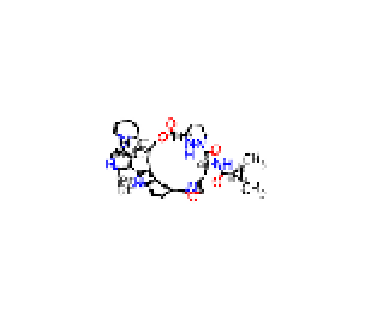 CCn1c(-c2cc(N3CCCCC3)cnc2C(C)C)c2c3cc(ccc31)-c1nc(co1)C[C@H](NC(=O)[C@H]1[C@H](C)[C@@H]1C)C(=O)N1CCC[C@H](N1)C(=O)OCC(C)(C)C2